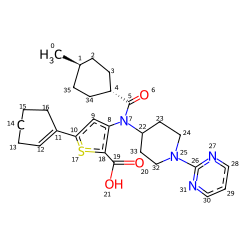 C[C@H]1CC[C@H](C(=O)N(c2cc(C3=CCCCC3)sc2C(=O)O)C2CCN(c3ncccn3)CC2)CC1